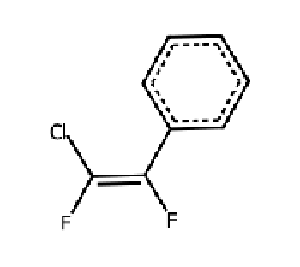 FC(Cl)=C(F)c1ccccc1